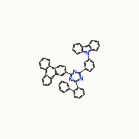 c1ccc(-c2ccccc2-c2nc(-c3cccc(-n4c5ccccc5c5ccccc54)c3)nc(-c3ccc4c5ccccc5c5ccccc5c4c3)n2)cc1